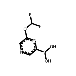 OB(O)c1cncc(OC(F)F)n1